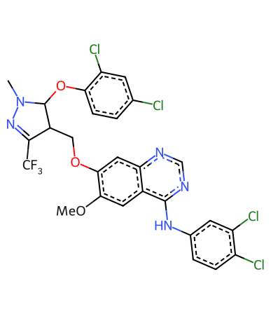 COc1cc2c(Nc3ccc(Cl)c(Cl)c3)ncnc2cc1OCC1C(C(F)(F)F)=NN(C)C1Oc1ccc(Cl)cc1Cl